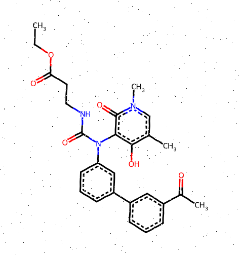 CCOC(=O)CCNC(=O)N(c1cccc(-c2cccc(C(C)=O)c2)c1)c1c(O)c(C)cn(C)c1=O